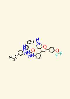 Cc1ccc(-n2nc(C(C)(C)C)cc2NC(=O)Nc2cccc(C(CC(=O)c3ccc(OC(F)F)cc3)C3CCNCC3)c2)cc1